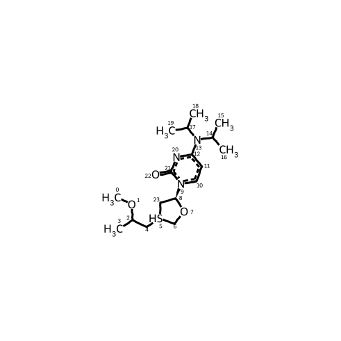 COC(C)C[SH]1CO[C@H](n2ccc(N(C(C)C)C(C)C)nc2=O)C1